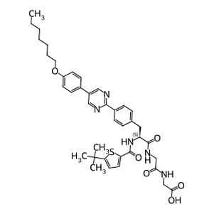 CCCCCCCOc1ccc(-c2cnc(-c3ccc(C[C@H](NC(=O)c4ccc(C(C)(C)C)s4)C(=O)NCC(=O)NCC(=O)O)cc3)nc2)cc1